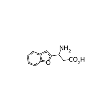 NC(CC(=O)O)c1cc2ccccc2o1